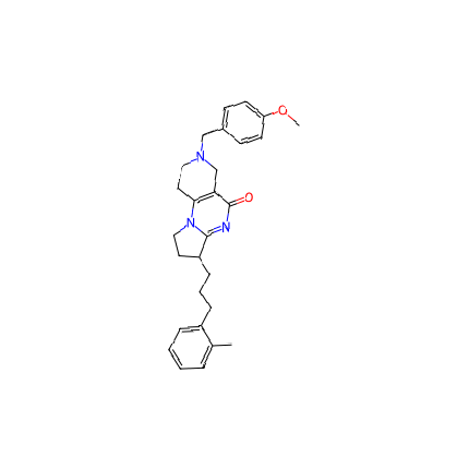 COc1ccc(CN2CCc3c(c(=O)nc4n3CCC4CCCc3ccccc3C)C2)cc1